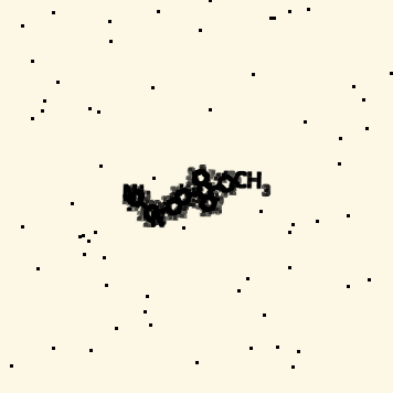 CC1=CC=C(c2c3ccccc3c(-c3ccc4cc(-c5cc(-c6ccncc6)ccn5)ccc4c3)c3ccccc23)CC1